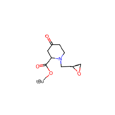 CC(C)(C)OC(=O)C1CC(=O)CCN1CC1CO1